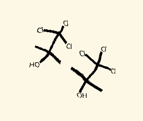 CC(C)(O)C(Cl)(Cl)Cl.CC(C)(O)C(Cl)(Cl)Cl